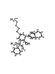 CCCCCc1cc(-n2nc3ccccc3n2)c(O)c(C(C)(C)c2ccccc2)c1